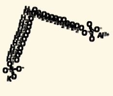 O.O.O.O.O.O.O.O.O.O.O.O.O.O.O.O.O.O.O.O.O.O.O.O.O=S(=O)([O-])[O-].O=S(=O)([O-])[O-].[Al+3].[K+]